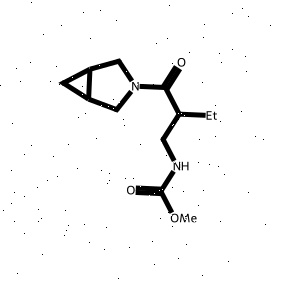 CCC(CNC(=O)OC)C(=O)N1CC2CC2C1